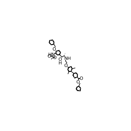 Cc1cc(OCCN[C@@H](C)[C@@H](O)c2ccc(OCc3ccccc3)c(NS(C)(=O)=O)c2)cc(C)c1-c1ccc(C(=O)OCc2ccccc2)cc1